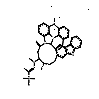 C=C1CC(N(C)/C=C(\C)[Si](C)(C)C)C(C)CCc2cc3oc4ccccc4c3cc2C2N1c1cccc3c1N2c1c(C(C)C)cccc1C3C